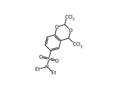 CCN(CC)S(=O)(=O)c1ccc2c(c1)C(C(Cl)(Cl)Cl)OC(C(Cl)(Cl)Cl)O2